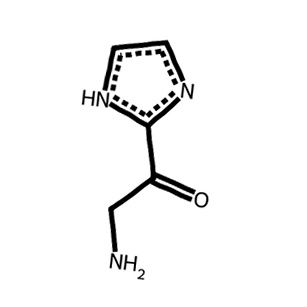 NCC(=O)c1ncc[nH]1